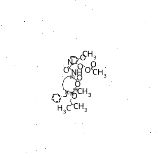 COc1ccnc(C(=O)N[C@H]2CCCC[C@H](Cc3ccccc3)[C@@H](OCC(C)C)[C@H](C)OC2=O)c1OCOC(C)=O